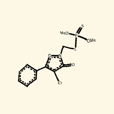 COP(=S)(OC)SCn1oc(-c2ccccc2)c(Cl)c1=O